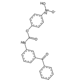 O=C(Nc1cccc(C(=O)c2ccccc2)c1)Oc1ccc([NH+]([O-])O)cc1